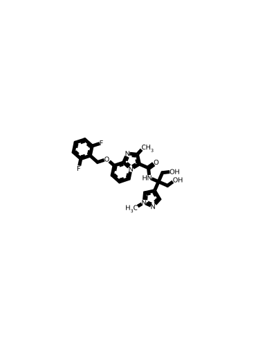 Cc1nc2c(OCc3c(F)cccc3F)cccn2c1C(=O)NC(CO)(CO)c1cnn(C)c1